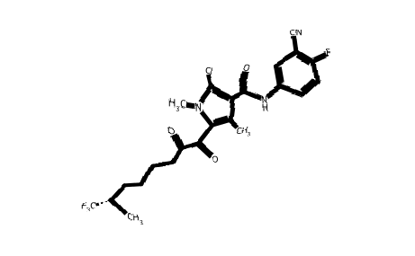 Cc1c(C(=O)Nc2ccc(F)c(C#N)c2)c(Cl)n(C)c1C(=O)C(=O)CCCC[C@H](C)C(F)(F)F